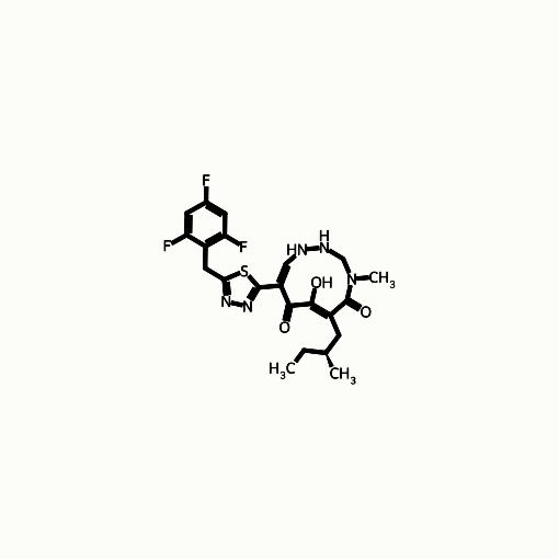 CC[C@H](C)C/C1=C(/O)C(=O)/C(c2nnc(Cc3c(F)cc(F)cc3F)s2)=C\NNCN(C)C1=O